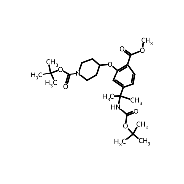 COC(=O)c1ccc(C(C)(C)NC(=O)OC(C)(C)C)cc1OC1CCN(C(=O)OC(C)(C)C)CC1